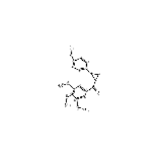 COc1ccc(C2CC2C(=O)c2cc(OC)c(OC)c(OC)c2)cc1